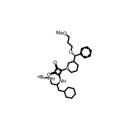 CCCCNCC(CC1CCCCC1)Nc1c(N2CCCC([C@@H](OCCCOC)c3ccccc3)C2)c(=O)c1=O